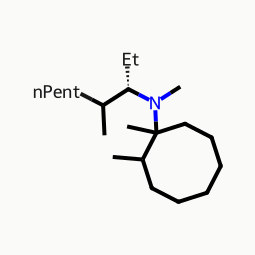 CCCCCC(C)[C@H](CC)N(C)C1(C)CCCCCCC1C